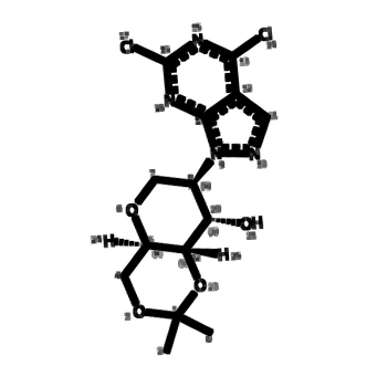 CC1(C)OC[C@H]2OC[C@@H](n3ncc4c(Cl)nc(Cl)nc43)[C@H](O)[C@@H]2O1